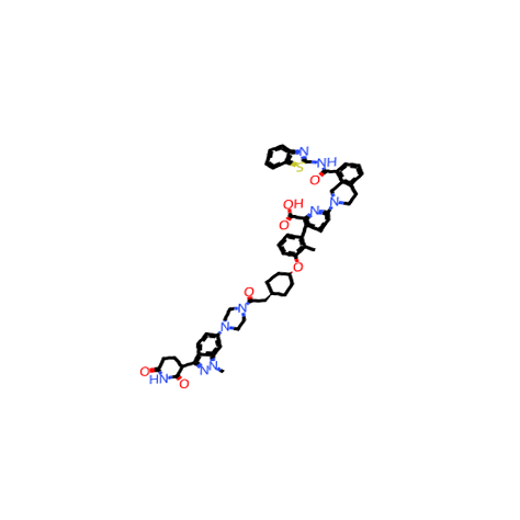 Cc1c(O[C@H]2CC[C@H](CC(=O)N3CCN(c4ccc5c(C6CCC(=O)NC6=O)nn(C)c5c4)CC3)CC2)cccc1-c1ccc(N2CCc3cccc(C(=O)Nc4nc5ccccc5s4)c3C2)nc1C(=O)O